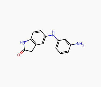 Nc1cccc(Nc2ccc3c(c2)CC(=O)N3)c1